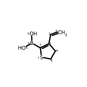 C=CC1=C(B(O)O)SCC1